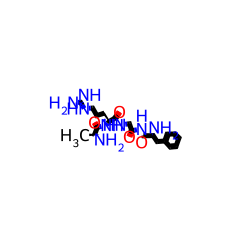 C[C@H](N)C(=O)N[C@@H](CCCNC(=N)N)C(=O)NCC(=O)NC(=O)[C@@H](N)Cc1ccccc1